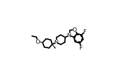 CCO[C@H]1CC[C@](C)(N2CCC(N3COc4c(F)cc(F)cc43)CC2)CC1